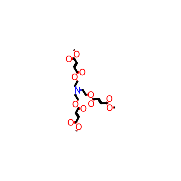 COC(=O)/C=C/C(=O)OCCN(CCOC(=O)/C=C/C(=O)OC)CCOC(=O)/C=C/C(=O)OC